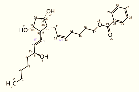 CCCCC[C@H](O)/C=C/[C@@H]1[C@@H](C/C=C\CCCCOC(=O)c2ccccc2)[C@@H](O)C[C@H]1O